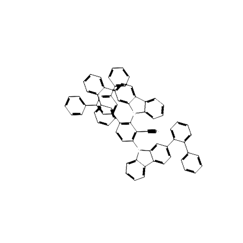 N#Cc1c(-n2c3ccccc3c3ccc(-c4ccccc4-c4ccccc4)cc32)ccc(-c2cc(-c3ccccc3)nc(-c3ccccc3)c2)c1-n1c2ccccc2c2ccc(-c3ccccc3-c3ccccc3)cc21